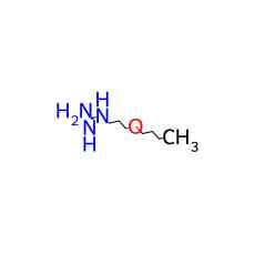 CCCCOCCCNC(=N)N